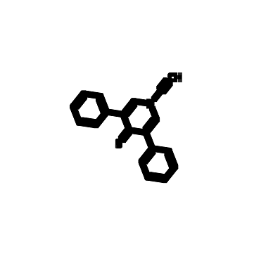 C#Cn1cc(-c2ccccc2)c(=S)c(-c2ccccc2)c1